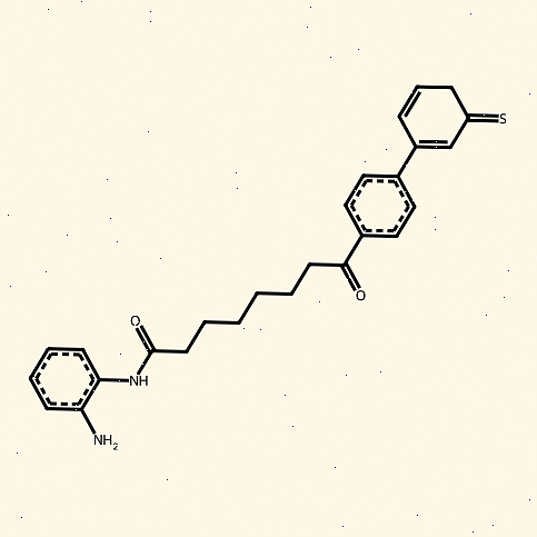 Nc1ccccc1NC(=O)CCCCCCC(=O)c1ccc(C2=CC(=S)CC=C2)cc1